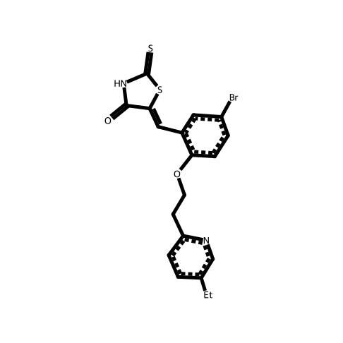 CCc1ccc(CCOc2ccc(Br)cc2/C=C2\SC(=S)NC2=O)nc1